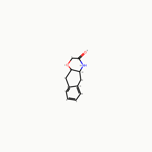 O=C1COC2Cc3ccccc3CC2N1